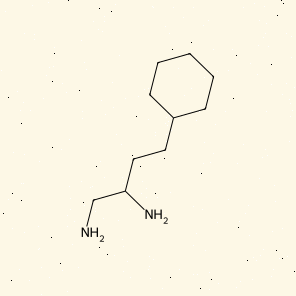 NCC(N)CCC1CCCCC1